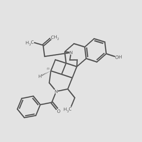 C=C(C)CN1CCC23c4cc(O)ccc4CC1C21C[C@@H]2CN(C(=O)c4ccccc4)C(CC)C3C21